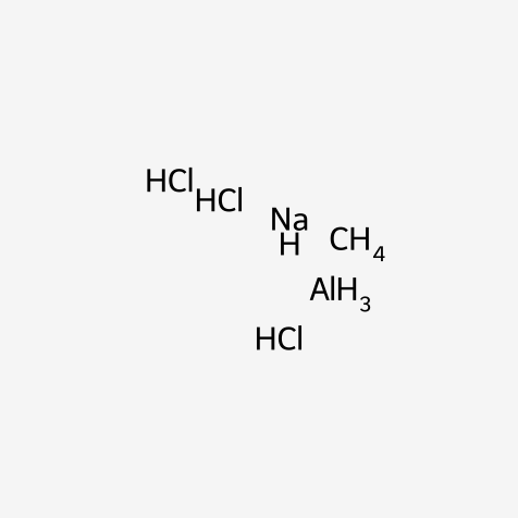 C.Cl.Cl.Cl.[AlH3].[NaH]